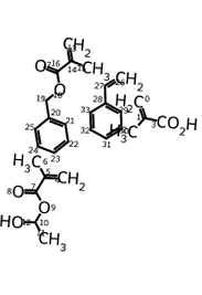 C=C(C)C(=O)O.C=C(C)C(=O)OC(C)O.C=C(C)C(=O)OCc1ccccc1.C=Cc1ccccc1